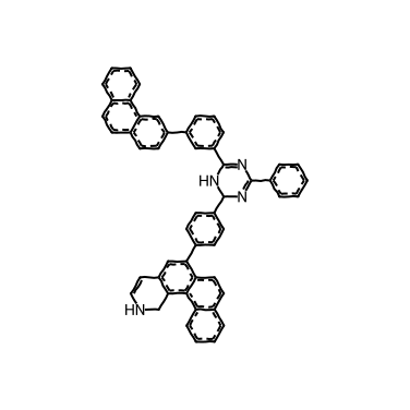 C1=Cc2cc(-c3ccc(C4N=C(c5ccccc5)N=C(c5cccc(-c6ccc7ccc8ccccc8c7c6)c5)N4)cc3)c3ccc4ccccc4c3c2CN1